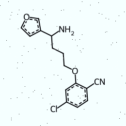 N#Cc1ccc(Cl)cc1OCCCC(N)c1ccoc1